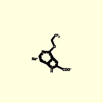 O=C([O-])c1cc2c(OCC(F)(F)F)nccc2[nH]1.[Na+]